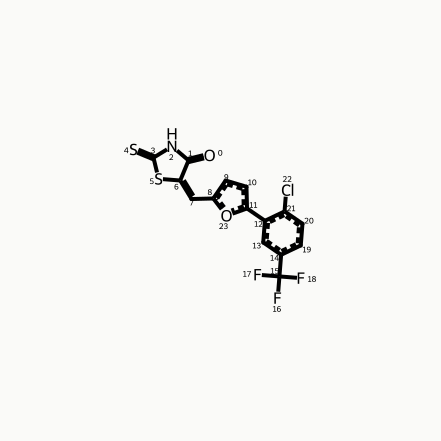 O=C1NC(=S)SC1=Cc1ccc(-c2cc(C(F)(F)F)ccc2Cl)o1